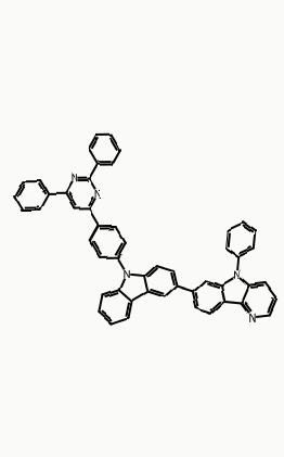 c1ccc(-c2cc(-c3ccc(-n4c5ccccc5c5cc(-c6ccc7c8ncccc8n(-c8ccccc8)c7c6)ccc54)cc3)nc(-c3ccccc3)n2)cc1